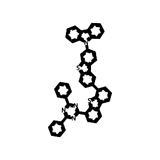 c1ccc(-c2nc(-c3ccccc3)nc(-c3cccc4c3sc3c(-c5ccc6sc7cc(-n8c9ccccc9c9ccccc98)ccc7c6c5)cccc34)n2)cc1